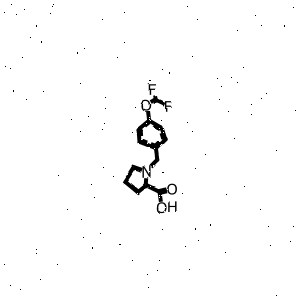 O=C(O)C1CCCN1Cc1ccc(OC(F)F)cc1